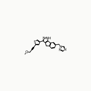 COCC#Cc1cc(-c2n[nH]c3c2Cc2ccc(Cn4cncn4)cc2-3)cs1